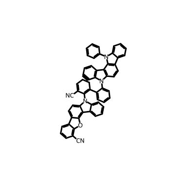 N#CC1=CCCC(c2ccccc2-n2c3c#cccc3c3c2ccc2c4ccccc4n(-c4ccccc4)c23)=C1n1c2ccccc2c2c3oc4c(C#N)cccc4c3ccc21